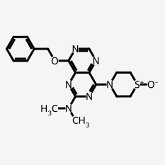 CN(C)c1nc(N2CC[S+]([O-])CC2)c2ncnc(OCc3ccccc3)c2n1